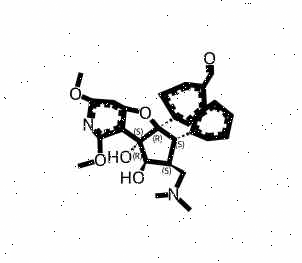 COc1cc2c(c(OC)n1)[C@]1(O)[C@H](O)[C@H](CN(C)C)[C@@H](c3ccccc3)[C@]1(c1ccc(C=O)cc1)O2